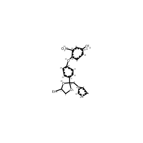 CCC1COC(Cn2ccnc2)(c2ccc(Oc3ccc(C(F)(F)F)cc3[N+](=O)[O-])cc2)O1